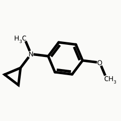 COc1ccc(N(C)C2CC2)cc1